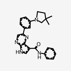 CC1(C)CCN(c2cccc(-c3cnc4[nH]cc(C(=O)Nc5ccccc5)c4n3)c2)C1